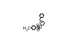 Cc1ccc(S(=O)(=O)O[C@@H]2CCCN(Cc3ccccc3)C2)cc1